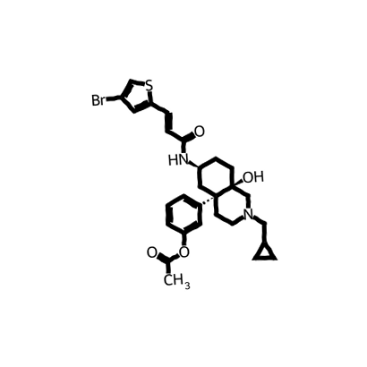 CC(=O)Oc1cccc([C@@]23CCN(CC4CC4)C[C@@]2(O)CC[C@H](NC(=O)/C=C/c2cc(Br)cs2)C3)c1